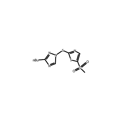 CCCCc1ncn(Sc2ncc(S(C)(=O)=O)s2)n1